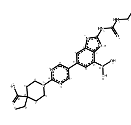 CCNC(=O)Nc1nc2cc(-c3cnc(N4CCC(CC)(C(=O)O)CC4)nc3)cc(B(O)O)c2s1